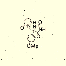 COc1ccc(C2(Cn3ccccc3=O)NC(=O)NC2=O)cc1